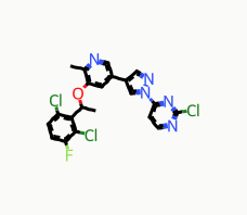 Cc1ncc(-c2cnn(-c3ccnc(Cl)n3)c2)cc1OC(C)c1c(Cl)ccc(F)c1Cl